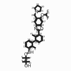 Cc1c(BOC(C)(C)C(C)(C)O)cccc1-c1cccc(-c2nc3cc(CN4CCCC4)c(OC(F)F)cc3o2)c1C